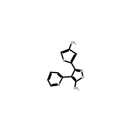 Cc1csc(-c2noc(C)c2-c2ccccn2)c1